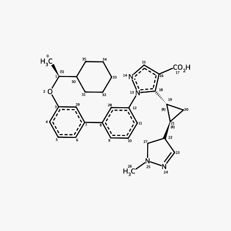 C[C@H](Oc1cccc(-c2cccc(-n3ncc(C(=O)O)c3[C@@H]3C[C@H]3C3C=NN(C)C3)c2)c1)C1CCCCC1